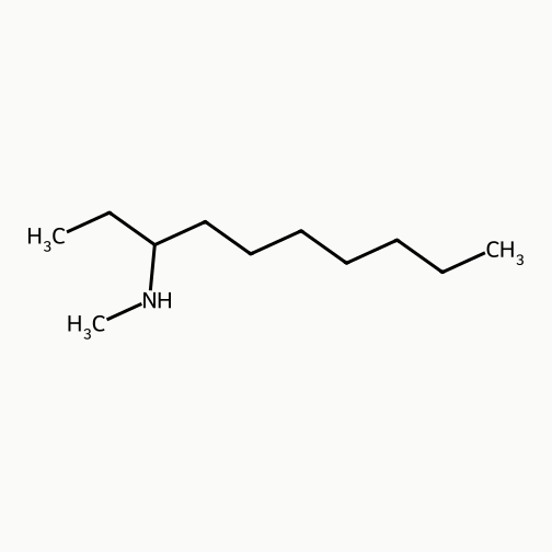 CCCCCCCC(CC)NC